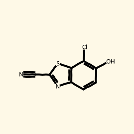 N#Cc1nc2ccc(O)c(Cl)c2s1